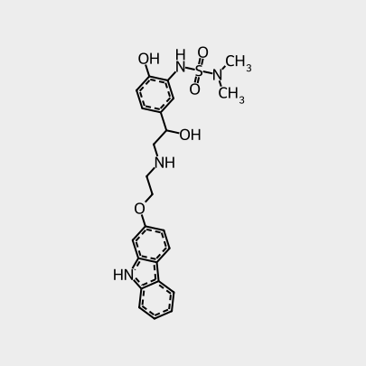 CN(C)S(=O)(=O)Nc1cc(C(O)CNCCOc2ccc3c(c2)[nH]c2ccccc23)ccc1O